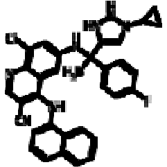 BC(Nc1cc(Cl)c2ncc(C#N)c(Nc3cccc4ccccc34)c2c1)(C1=CN(C2CC2)NN1)c1ccc(F)cc1